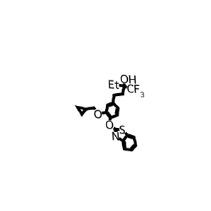 CCC(O)(CCc1ccc(Oc2nc3ccccc3s2)c(OCC2CC2)c1)C(F)(F)F